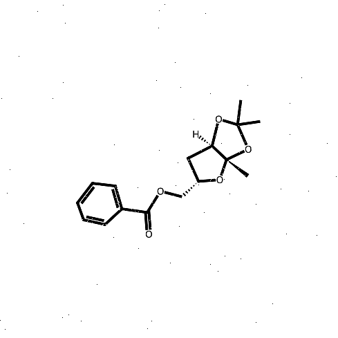 CC1(C)O[C@@H]2C[C@@H](COC(=O)c3ccccc3)O[C@@]2(C)O1